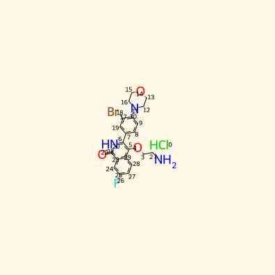 Cl.NCCOc1c(-c2ccc(N3CCOCC3)c(Br)c2)[nH]c(=O)c2cc(F)ccc12